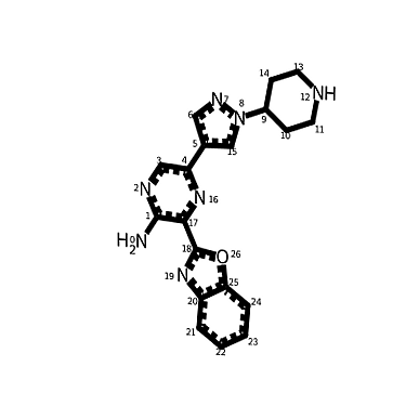 Nc1ncc(-c2cnn(C3CCNCC3)c2)nc1-c1nc2ccccc2o1